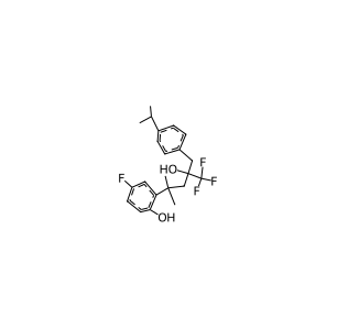 CC(C)c1ccc(CC(O)(CC(C)(C)c2cc(F)ccc2O)C(F)(F)F)cc1